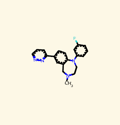 CN1CCN(c2cccc(F)c2)c2ccc(-c3cccnn3)cc2C1